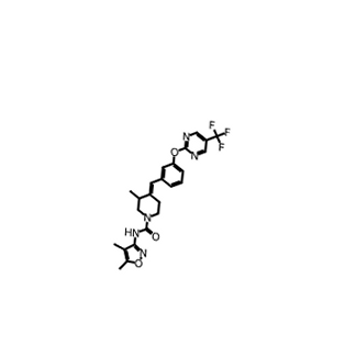 Cc1onc(NC(=O)N2CC/C(=C\c3cccc(Oc4ncc(C(F)(F)F)cn4)c3)C(C)C2)c1C